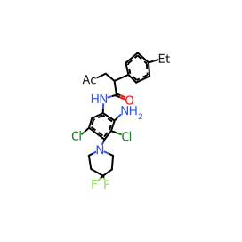 CCc1ccc(C(CC(C)=O)C(=O)Nc2cc(Cl)c(N3CCC(F)(F)CC3)c(Cl)c2N)cc1